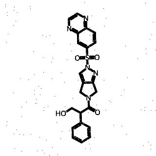 O=C(C(CO)c1ccccc1)N1Cc2cn(S(=O)(=O)c3ccc4nccnc4c3)nc2C1